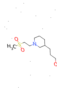 CS(=O)(=O)CCN1CCCC(CCCO)C1